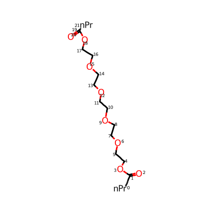 CCCC(=O)OCCOCCOCCOCCOCCOC(=O)CCC